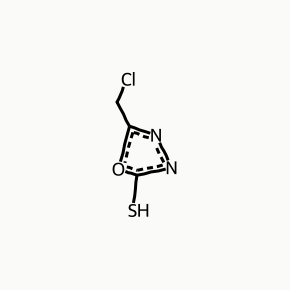 Sc1nnc(CCl)o1